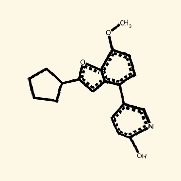 COc1ccc(-c2ccc(O)nc2)c2cc(C3CCCC3)oc12